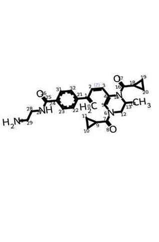 C=C(/C=C\C1=CN(C(=O)C2CC2)CC(C)N1C(=O)C1CC1)c1ccc(C(=O)NCCN)cc1